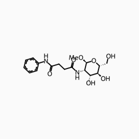 CO[C@H]1O[C@H](CO)[C@@H](O)[C@H](O)[C@@H]1NC(=O)CCC(=O)Nc1ccccc1